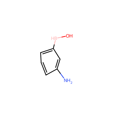 Nc1cccc(BO)c1